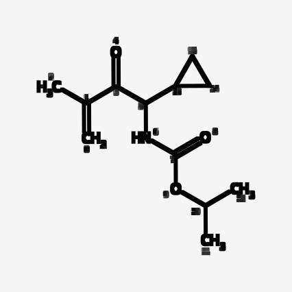 C=C(C)C(=O)C(NC(=O)OC(C)C)C1CC1